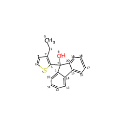 CCc1ccsc1C1(O)c2ccccc2-c2ccccc21